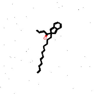 C/C=C/C(=O)C1(CCCCCCCCCCCC)C=c2ccccc2=C1